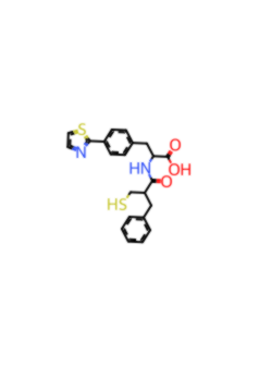 O=C(NC(Cc1ccc(-c2nccs2)cc1)C(=O)O)C(CS)Cc1ccccc1